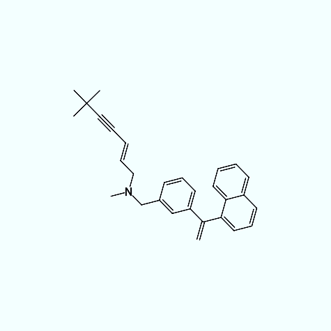 C=C(c1cccc(CN(C)CC=CC#CC(C)(C)C)c1)c1cccc2ccccc12